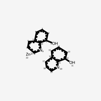 Oc1cccc2cccnc12.Oc1cccc2cccnc12.[Zn+2]